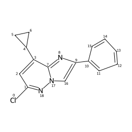 Clc1cc(C2CC2)c2nc(-c3ccccc3)cn2n1